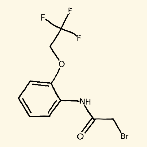 O=C(CBr)Nc1ccccc1OCC(F)(F)F